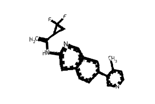 C=C(Nc1cc2ccc(-c3cnccc3C)cc2cn1)C1CC1(F)F